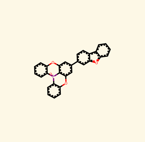 O=P12c3ccccc3Oc3cc(-c4ccc5c(c4)oc4ccccc45)cc(c31)Oc1ccccc12